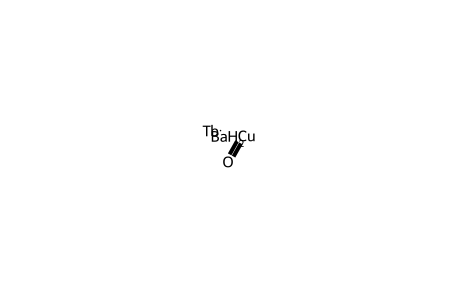 [BaH2].[O]=[Cu].[Tb]